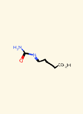 NC(=O)N=CCCC(=O)O